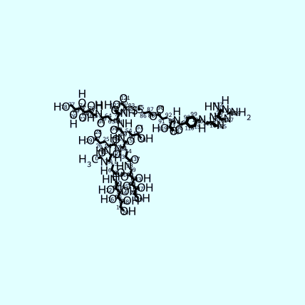 CC(=O)N[C@@H](CCC(=O)NC[C@H](O)[C@@H](O)[C@H](O)[C@H](O)CO)C(=O)N[C@@H](CCC(=O)O)C(=O)N[C@@H](CCC(=O)NC[C@H](O)[C@@H](O)[C@H](O)[C@H](O)CO)C(=O)N[C@@H](CCC(=O)O)C(=O)N[C@@H](CCC(=O)NC[C@H](O)[C@@H](O)[C@H](O)[C@H](O)CO)C(=O)N[C@@H](CSSCCOC(=O)CC[C@H](NC(=O)c1ccc(NCc2cnc3nc(N)[nH]c(=N)c3n2)cc1)C(=O)O)C(=O)O